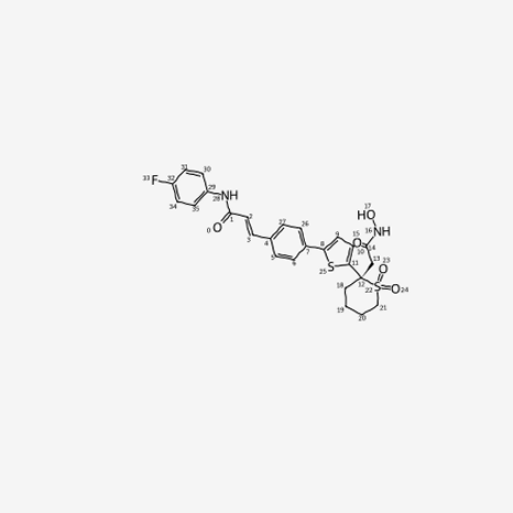 O=C(C=Cc1ccc(-c2ccc([C@@]3(CC(=O)NO)CCCCS3(=O)=O)s2)cc1)Nc1ccc(F)cc1